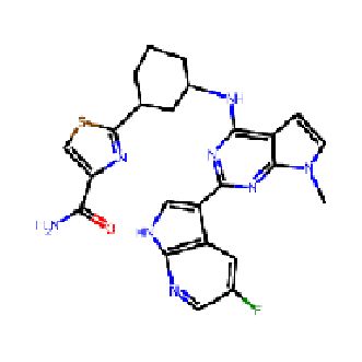 Cn1ccc2c(NC3CCCC(c4nc(C(N)=O)cs4)C3)nc(-c3c[nH]c4ncc(F)cc34)nc21